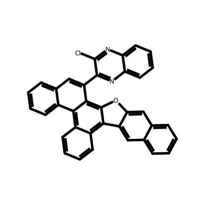 Clc1nc2ccccc2nc1-c1cc2ccccc2c2c3ccccc3c3c4cc5ccccc5cc4oc3c12